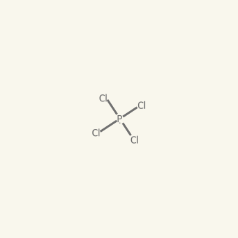 Cl[P](Cl)(Cl)Cl